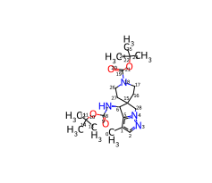 Cc1cnn2c1[C@@H](NC(=O)OC(C)(C)C)C1(CCN(C(=O)OC(C)(C)C)CC1)C2